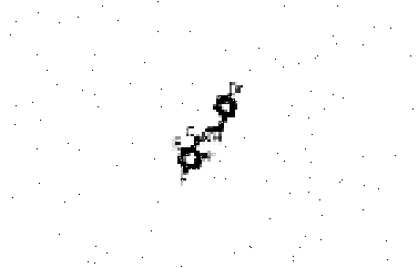 O=C(NCCc1ccc(Br)cc1)c1c(F)cc(F)cc1F